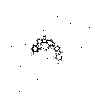 C[C@@H]1c2c([nH]c3nnc(-c4ccccc4O)cc23)CCN1C1CCN(CC2CCNCC2)CC1